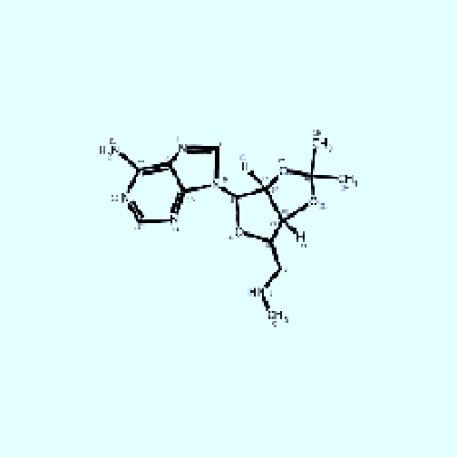 CNCC1OC(n2cnc3c(N)ncnc32)[C@@H]2OC(C)(C)O[C@H]12